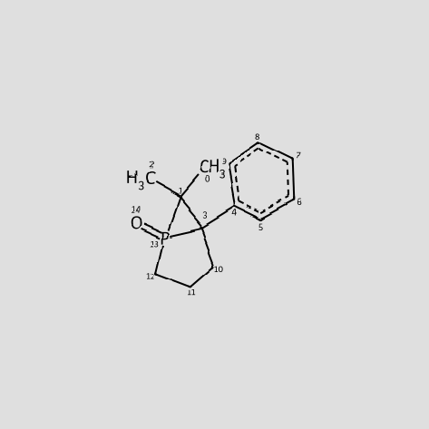 CC1(C)C2(c3ccccc3)CCCP12=O